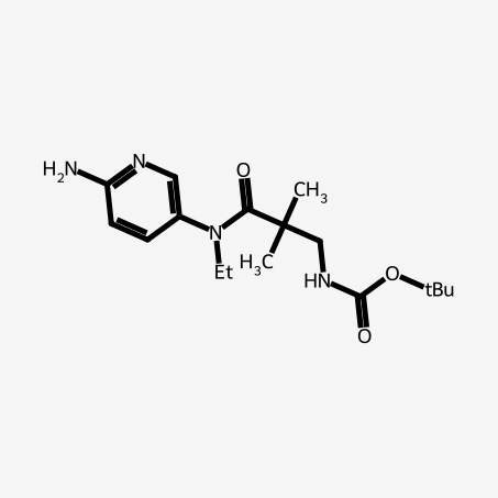 CCN(C(=O)C(C)(C)CNC(=O)OC(C)(C)C)c1ccc(N)nc1